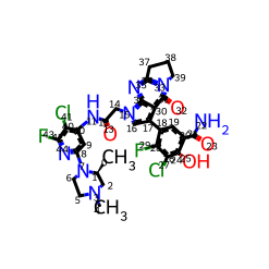 C[C@H]1CN(C)CCN1c1cc(NC(=O)Cn2cc(-c3cc(C(N)=O)c(O)c(Cl)c3F)c3c(=O)n4c(nc32)CCC4)c(Cl)c(F)n1